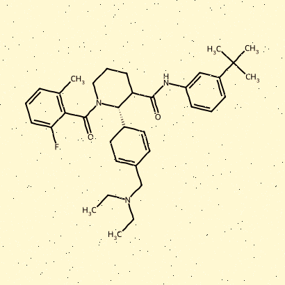 CCN(CC)CC1=CCC([C@H]2C(C(=O)Nc3cccc(C(C)(C)C)c3)CCCN2C(=O)c2c(C)cccc2F)C=C1